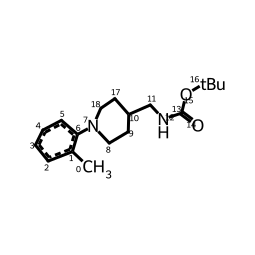 Cc1ccccc1N1CCC(CNC(=O)OC(C)(C)C)CC1